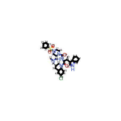 C[C@@H](c1c[nH]c2ccccc12)[C@@H](NC(=O)N1CCN(S(=O)(=O)c2ccccc2)CC1)C(=O)N1C[C@@H](CN(C)C)Cc2cc(Cl)ccc21